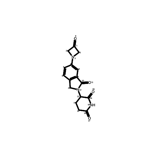 O=C1CN(c2ccc3c(c2)C(=O)N(C2CCC(=O)NC2=O)C3)C1